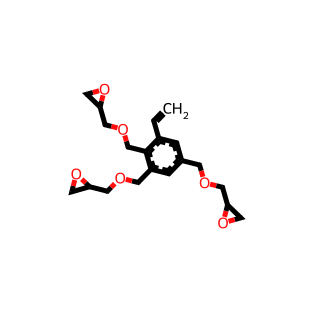 C=Cc1cc(COCC2CO2)cc(COCC2CO2)c1COCC1CO1